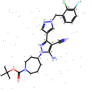 CC(C)(C)OC(=O)N1CCC[C@H](n2nc(-c3cnn(Cc4cccc(F)c4Cl)c3)c(C#N)c2N)CC1